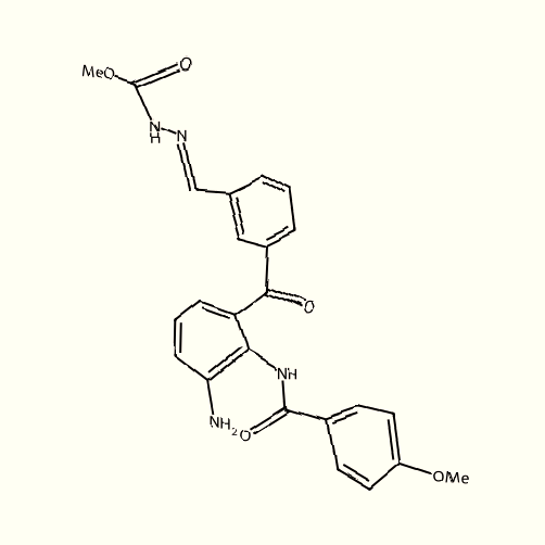 COC(=O)NN=Cc1cccc(C(=O)c2cccc(N)c2NC(=O)c2ccc(OC)cc2)c1